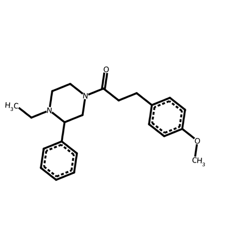 CCN1CCN(C(=O)CCc2ccc(OC)cc2)CC1c1ccccc1